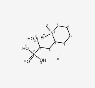 CC[N+]1(C)CCCCC1CC(P(=O)(O)O)S(=O)(=O)O.[I-]